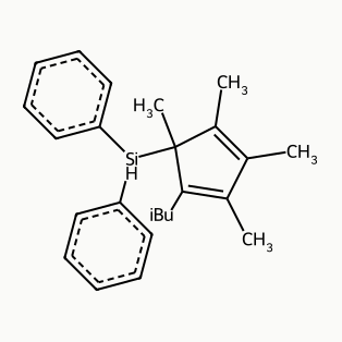 CCC(C)C1=C(C)C(C)=C(C)C1(C)[SiH](c1ccccc1)c1ccccc1